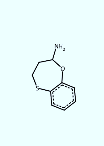 NC1CCSc2ccccc2O1